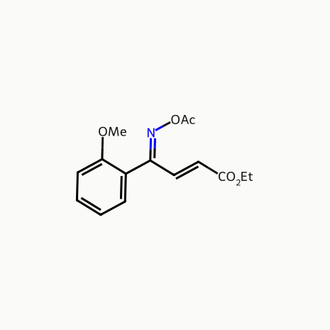 CCOC(=O)C=CC(=NOC(C)=O)c1ccccc1OC